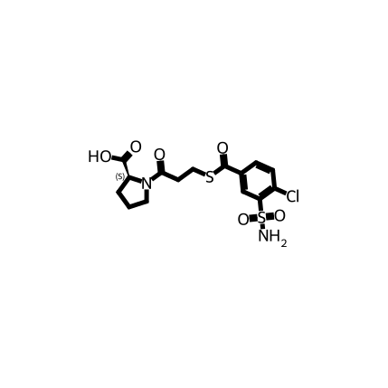 NS(=O)(=O)c1cc(C(=O)SCCC(=O)N2CCC[C@H]2C(=O)O)ccc1Cl